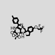 Cc1ccc(-c2nn3c(c2NC(=O)CS(C)(=O)=O)C(=O)N[C@@]2(CCc4cc(OCC(F)(F)F)ccc42)C3)cc1